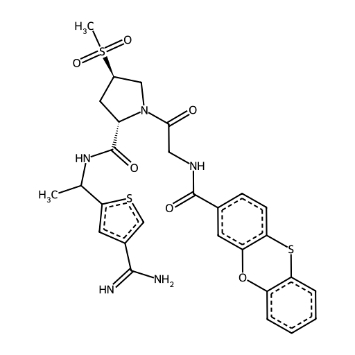 CC(NC(=O)[C@@H]1C[C@@H](S(C)(=O)=O)CN1C(=O)CNC(=O)c1ccc2c(c1)Oc1ccccc1S2)c1cc(C(=N)N)cs1